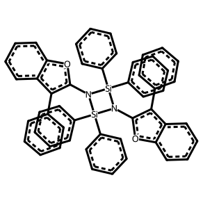 c1ccc(-c2c(N3[Si](c4ccccc4)(c4ccccc4)N(c4oc5ccccc5c4-c4ccccc4)[Si]3(c3ccccc3)c3ccccc3)oc3ccccc23)cc1